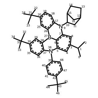 CC(C)c1cc2c3c(c1)N(C1CC4CCC1C4)c1ccc(C(C)(C)C)cc1B3c1cc(C(C)(C)C)ccc1N2c1ccc(C(C)(C)C)cc1